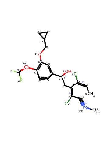 C\C=C(Cl)/C(C[C@H](O)c1ccc(OC(F)F)c(OCC2CC2)c1)=C(Cl)\C=N\C